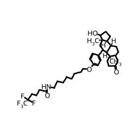 C[C@]12CCC(=O)CC1CC[C@@H]1[C@H]2C(c2ccc(OCCCCCCCCNC(=O)CCCC(F)(F)C(F)(F)F)cc2)C[C@]2(C)C(O)CC[C@@H]12